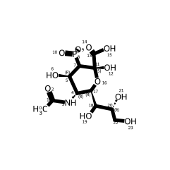 CC(=O)N[C@@H]1[C@@H](O)C(P(=O)=O)[C@](O)(C(=O)O)O[C@H]1C(O)[C@H](O)CO